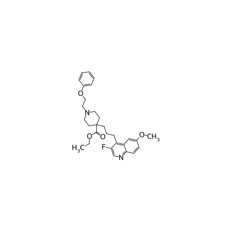 CCOC(=O)C1(CCCc2c(F)cnc3ccc(OC)cc23)CCN(CCOc2ccccc2)CC1